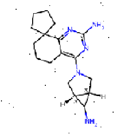 Nc1nc(N2C[C@@H]3C(N)[C@@H]3C2)c2c(n1)C1(CCCC1)CCC2